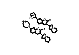 O=c1oc2cc(N3CC4CCC3CN4)ccc2cc1-c1cc2ccccn2n1.O=c1oc2cc(N3CCCNCC3)ccc2cc1-c1cc2ccccn2n1